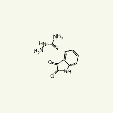 NNC(N)=S.O=C1Nc2ccccc2C1=O